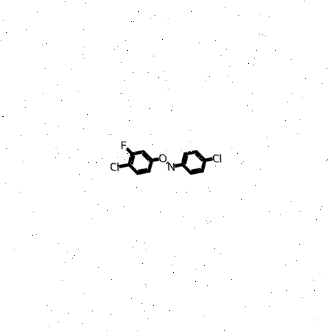 Fc1cc(O[N]c2ccc(Cl)cc2)ccc1Cl